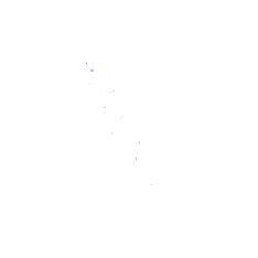 CCCCCOCCOCN